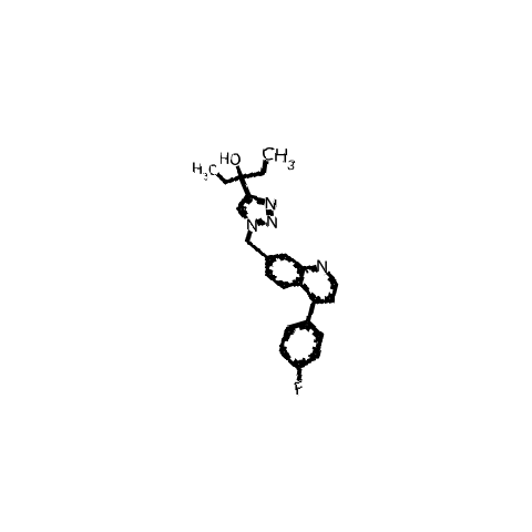 CCC(O)(CC)c1cn(Cc2ccc3c(-c4ccc(F)cc4)ccnc3c2)nn1